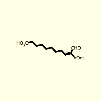 CCCCCCCCC(C=O)=CCCCCCCCC(=O)O